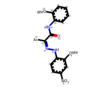 COc1cc([N+](=O)[O-])ccc1N/N=C(/C(C)=O)C(=O)Nc1ccccc1OC